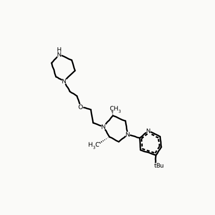 C[C@@H]1CN(c2cc(C(C)(C)C)ccn2)C[C@H](C)N1CCOCCN1CCNCC1